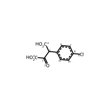 O=C(O)C(=O)C(C(=O)O)c1ccc(Cl)cc1